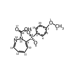 COc1ccc(S(=O)(=O)C2=CC=CC=NN2C(=O)O)cc1